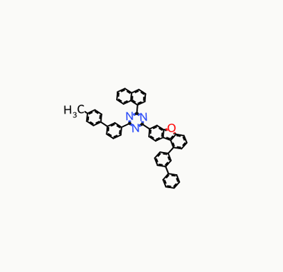 Cc1ccc(-c2cccc(-c3nc(-c4ccc5c(c4)oc4cccc(-c6cccc(-c7ccccc7)c6)c45)nc(-c4cccc5ccccc45)n3)c2)cc1